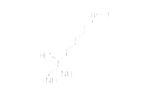 CCCCCCCCCCCCCCC[C@H](N)[C@H](N)CN